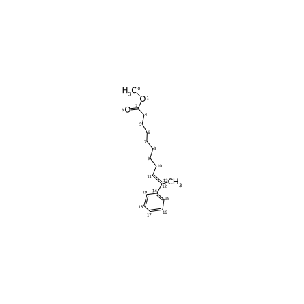 COC(=O)CCCCCCCC=C(C)c1ccccc1